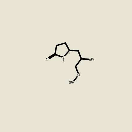 CCCC(COC(C)(C)C)CC1CCC(=O)N1